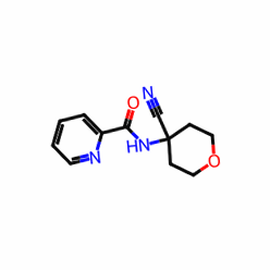 N#CC1(NC(=O)c2ccccn2)CCOCC1